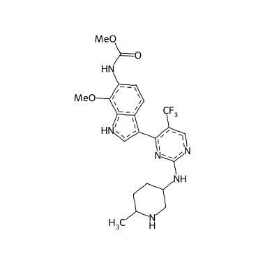 COC(=O)Nc1ccc2c(-c3nc(NC4CCC(C)NC4)ncc3C(F)(F)F)c[nH]c2c1OC